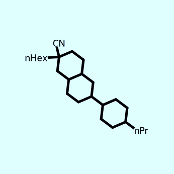 CCCCCCC1(C#N)CCC2CC(C3CCC(CCC)CC3)CCC2C1